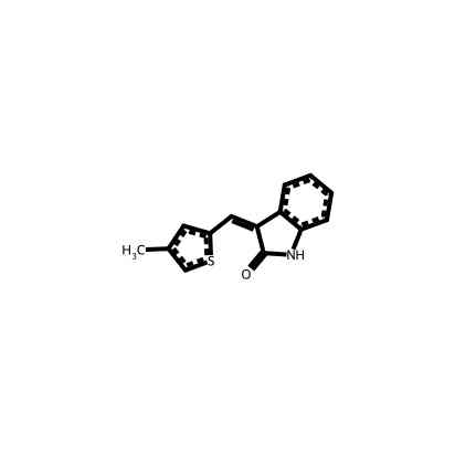 Cc1csc(C=C2C(=O)Nc3ccccc32)c1